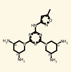 Cc1cc(Nc2nc(N3C[C@H](N)C[C@H](N)C3)nc(N3C[C@H](N)C[C@H](N)C3)n2)no1